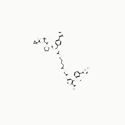 CNC(=O)c1nnc(NC(=O)CNC(=O)CCCCNC(=O)C[C@H](NC(=O)[C@@H]2C[C@@H](O)CN2C(=O)[C@@H](NC(=O)C2(F)CC2)C(C)(C)C)c2ccc(-c3scnc3C)cc2)cc1Nc1cccc(-c2ncn(C)n2)c1OC